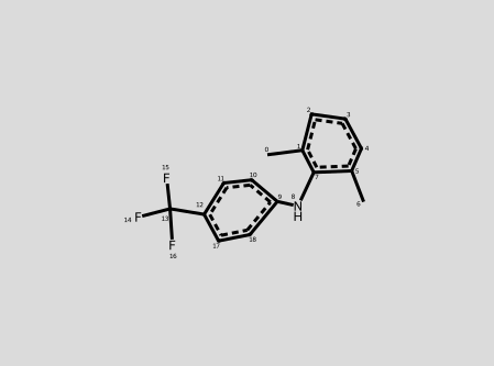 Cc1cccc(C)c1Nc1ccc(C(F)(F)F)cc1